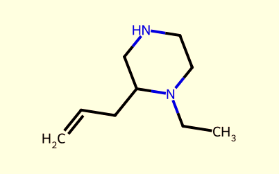 C=CCC1CNCCN1CC